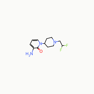 Nc1cccn(C2CCN(CC(F)F)CC2)c1=O